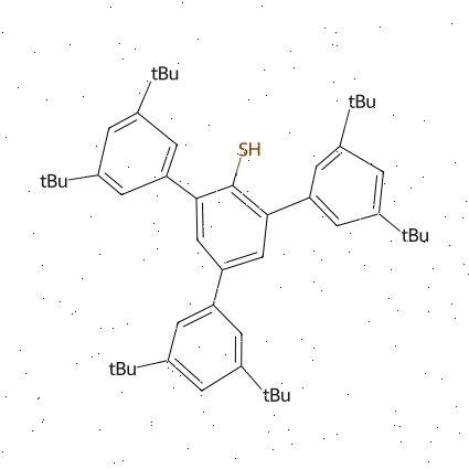 CC(C)(C)c1cc(-c2cc(-c3cc(C(C)(C)C)cc(C(C)(C)C)c3)c(S)c(-c3cc(C(C)(C)C)cc(C(C)(C)C)c3)c2)cc(C(C)(C)C)c1